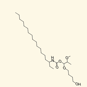 CCCCCCCCCCCCCCCC(CC)NC(=O)OC(OCCCCO)C(C)OC